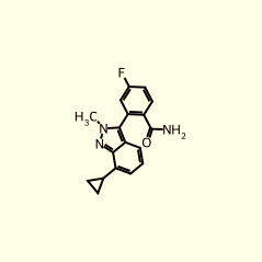 Cn1nc2c(C3CC3)cccc2c1-c1cc(F)ccc1C(N)=O